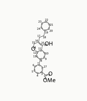 COC(=O)c1cccc(-c2ccc3c(c2)OCC(CCc2ccccc2)=C3O)c1